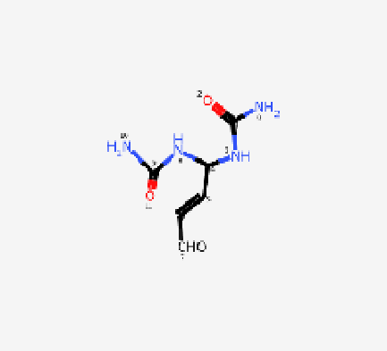 NC(=O)NC(/C=C/C=O)NC(N)=O